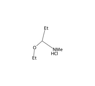 CCOC(CC)NC.Cl